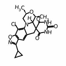 C[C@@H]1CN2c3c(cc4c(C5CC5)noc4c3Cl)CC3(C(=O)NC(=O)NC3=O)[C@H]2[C@H](C)O1